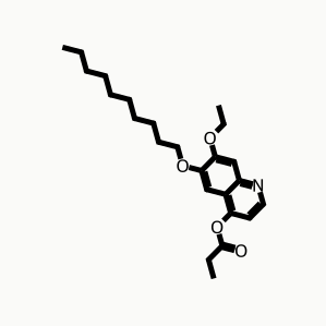 CCCCCCCCCCOc1cc2c(OC(=O)CC)ccnc2cc1OCC